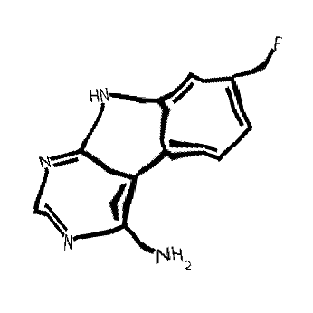 Nc1ncnc2[nH]c3cc(F)ccc3c12